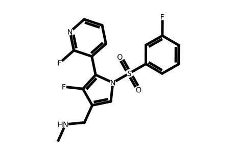 CNCc1cn(S(=O)(=O)c2cccc(F)c2)c(-c2cccnc2F)c1F